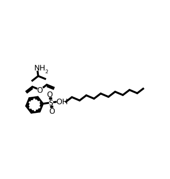 C=COC=C.CC(C)N.CCCCCCCCCCCC.O=S(=O)(O)c1ccccc1